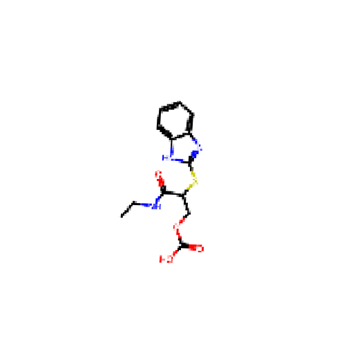 CCNC(=O)C(COC(=O)O)Sc1nc2ccccc2[nH]1